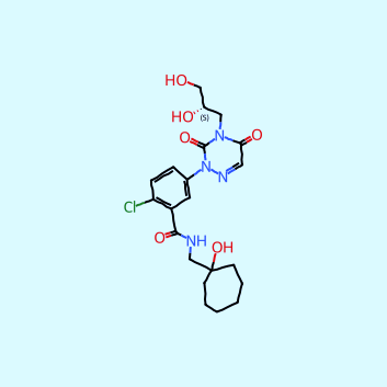 O=C(NCC1(O)CCCCCC1)c1cc(-n2ncc(=O)n(C[C@H](O)CO)c2=O)ccc1Cl